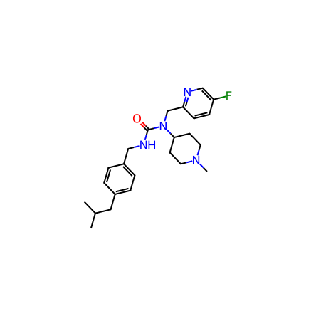 CC(C)Cc1ccc(CNC(=O)N(Cc2ccc(F)cn2)C2CCN(C)CC2)cc1